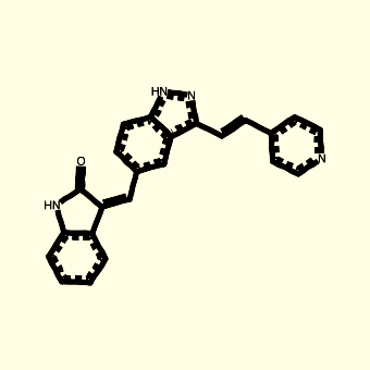 O=C1Nc2ccccc2C1=Cc1ccc2[nH]nc(/C=C/c3ccncc3)c2c1